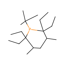 CCC1(CC)C(C)CC(C)C(CC)(CC)P1C(C)(C)C